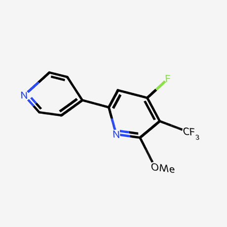 COc1nc(-c2ccncc2)cc(F)c1C(F)(F)F